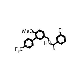 COc1ccc(CN[C@H](C)c2cccc(F)c2)cc1-c1ccc(C(F)(F)F)cc1